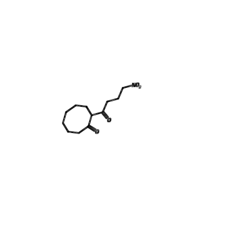 O=C1CCCCCCC1C(=O)CCC[N+](=O)[O-]